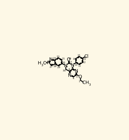 CCOc1cnc2c(n1)N(c1ccc(Cl)cc1)C(=O)N(c1ccc3nn(C)cc3c1)C2